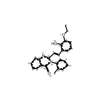 CCOc1cccc(/C=C/c2nc3ccccc3c(=O)n2-c2ccccc2C)c1O